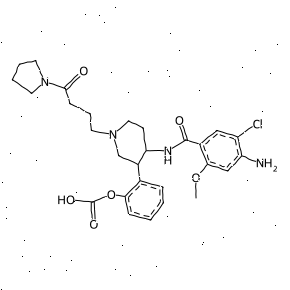 COc1cc(N)c(Cl)cc1C(=O)NC1CCN(CCCC(=O)N2CCCC2)CC1c1ccccc1OC(=O)O